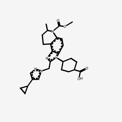 COC(=O)N1c2ccc3c(nc(Cn4cc(C5CC5)cn4)n3C3CCC(C(=O)O)CC3)c2CCC1C